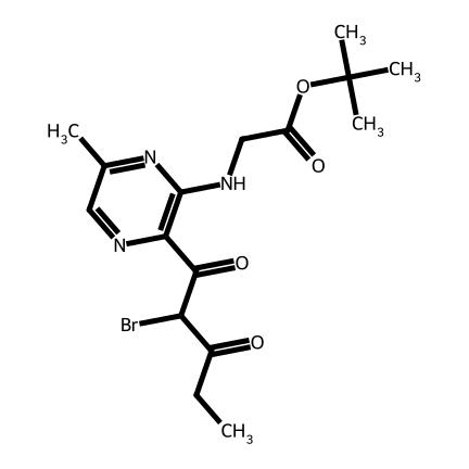 CCC(=O)C(Br)C(=O)c1ncc(C)nc1NCC(=O)OC(C)(C)C